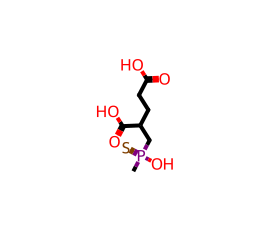 CP(O)(=S)CC(CCC(=O)O)C(=O)O